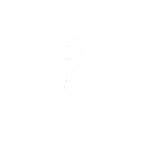 Cc1ccc(-n2c(C)cnc2SC(C)(C)C(=O)NCC(=O)O)c2ccccc12